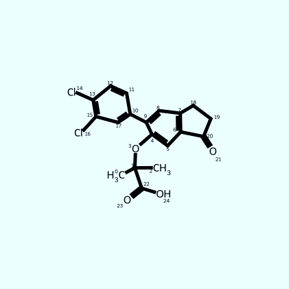 CC(C)(Oc1cc2c(cc1-c1ccc(Cl)c(Cl)c1)CCC2=O)C(=O)O